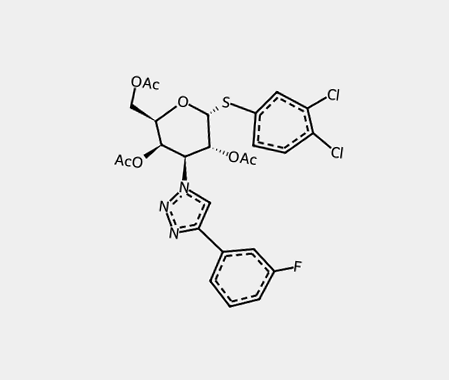 CC(=O)OC[C@H]1O[C@H](Sc2ccc(Cl)c(Cl)c2)[C@H](OC(C)=O)[C@@H](n2cc(-c3cccc(F)c3)nn2)[C@H]1OC(C)=O